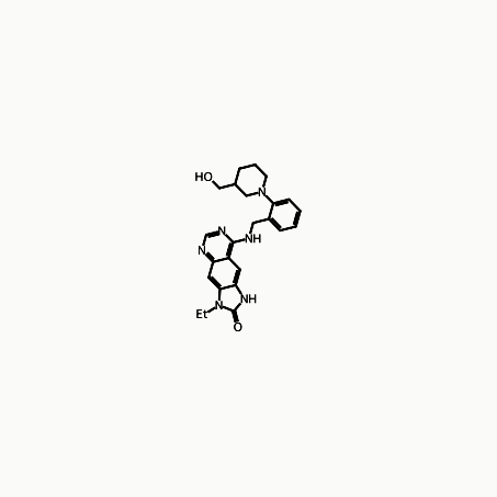 CCn1c(=O)[nH]c2cc3c(NCc4ccccc4N4CCCC(CO)C4)ncnc3cc21